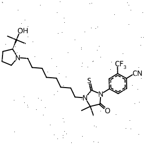 CC(C)(O)[C@@H]1CCCN1CCCCCCCCN1C(=S)N(c2ccc(C#N)c(C(F)(F)F)c2)C(=O)C1(C)C